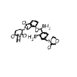 Bc1cc(CN2CCOCC2=O)ccc1C(B)Oc1cccc2c1CN(C1CCC(=O)NC1=O)C2=O